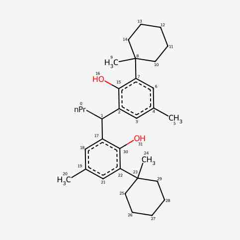 CCCC(c1cc(C)cc(C2(C)CCCCC2)c1O)c1cc(C)cc(C2(C)CCCCC2)c1O